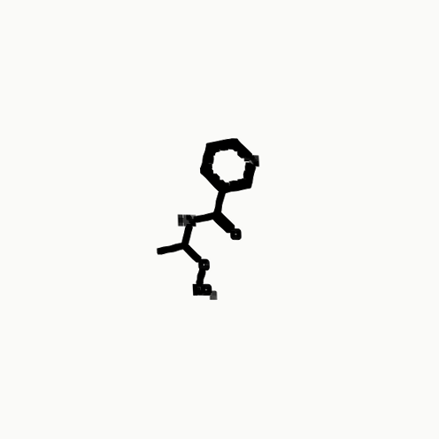 CC(NC(=O)c1cccnc1)O[N+](=O)[O-]